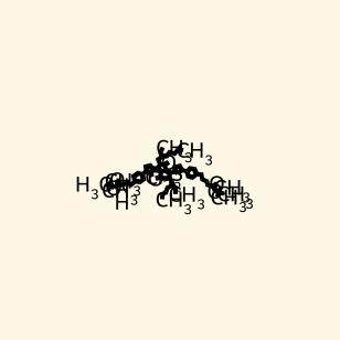 C=C1C(C2=C3C(=O)CC(CC(CC)CCCC)C(c4ccc(-c5ccc(CCCCC(=O)OC(C)(C)C)cc5)s4)=C3C(=O)C2CC(CC)CCCCC)=CC=C1c1ccc(CCNC(=O)OC(C)(C)C)cc1